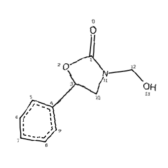 O=C1OC(c2ccccc2)CN1CO